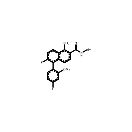 CCCNC(=O)c1ccc2c(-c3ccc(F)cc3OC)c(F)ccc2c1N